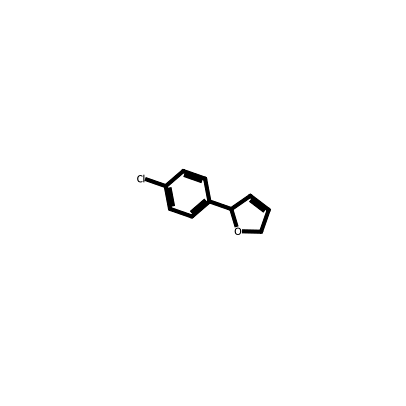 Clc1ccc(C2C=CCO2)cc1